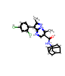 Cc1nn2c(C)c(C(=O)NC34CC5CC(CC(C5)C3)C4)cnc2c1-c1ccc(Cl)cc1Cl